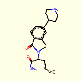 NC(=O)C(CCC=O)N1Cc2cc(C3CCNCC3)ccc2C1=O